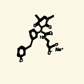 CC1=CN(C)C(=O)C(N(C(=O)NCCC(=O)[O-])c2cccc(Cc3cccc(Cl)c3)c2)C1=O.[Na+]